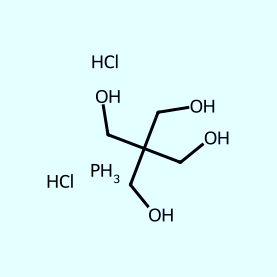 Cl.Cl.OCC(CO)(CO)CO.P